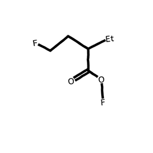 CCC(CCF)C(=O)OF